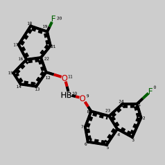 Fc1ccc2cccc(OBOc3cccc4ccc(F)cc34)c2c1